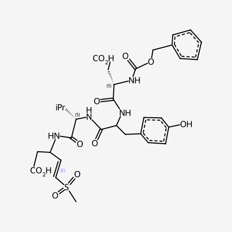 CC(C)[C@H](NC(=O)C(Cc1ccc(O)cc1)NC(=O)[C@H](CC(=O)O)NC(=O)OCc1ccccc1)C(=O)NC(/C=C/S(C)(=O)=O)CC(=O)O